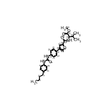 CCCCc1ccc(NC(=O)Nc2ccc(-c3cc(C(=O)NC(C(=O)OC)C(C)C)on3)cc2)cc1